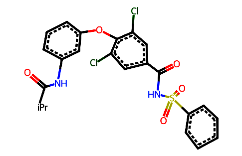 CC(C)C(=O)Nc1cccc(Oc2c(Cl)cc(C(=O)NS(=O)(=O)c3ccccc3)cc2Cl)c1